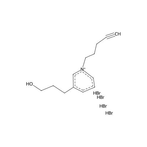 Br.Br.Br.Br.C#CCCC[n+]1cccc(CCCO)c1